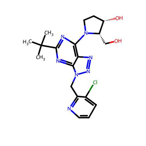 CC(C)(C)c1nc(N2CC[C@H](O)[C@@H]2CO)c2nnn(Cc3ncccc3Cl)c2n1